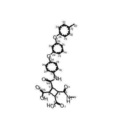 CNC(=O)C1C(C(=O)O)C(C(=O)O)C1C(=O)Nc1ccc(Oc2cccc(Oc3ccc(C)cc3)c2)cc1